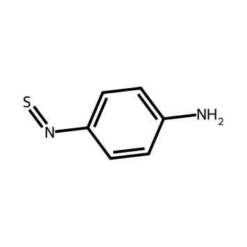 Nc1ccc(N=S)cc1